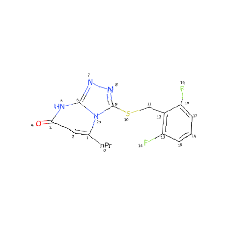 CCCc1cc(=O)[nH]c2nnc(SCc3c(F)cccc3F)n12